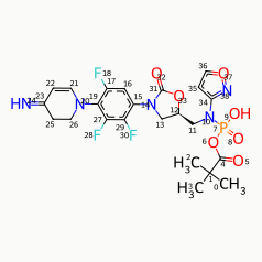 CC(C)(C)C(=O)OP(=O)(O)N(C[C@H]1CN(c2cc(F)c(N3C=CC(=N)CC3)c(F)c2F)C(=O)O1)c1ccon1